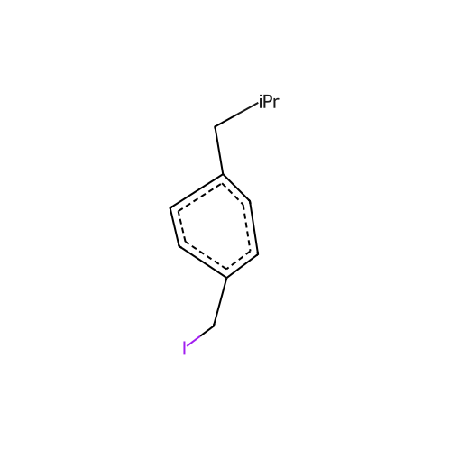 CC(C)Cc1ccc(CI)cc1